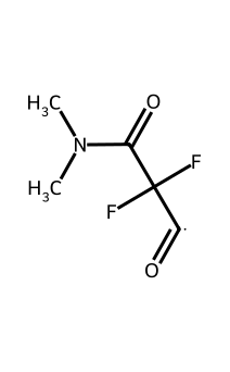 CN(C)C(=O)C(F)(F)[C]=O